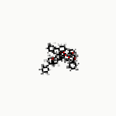 C1=CC2C(Oc3c(ccc4ccccc34)C23c2ccccc2-c2ccc(-c4ccccc4N(c4ccc(-c5ccccc5)cc4)c4ccc5c(c4)oc4ccccc45)cc23)c2ccccc21